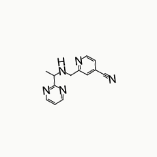 CC(NCc1cc(C#N)ccn1)c1ncccn1